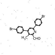 Cc1c(-c2ccc(Br)cc2)cc(-c2ccc(Br)cc2)nc1C=O